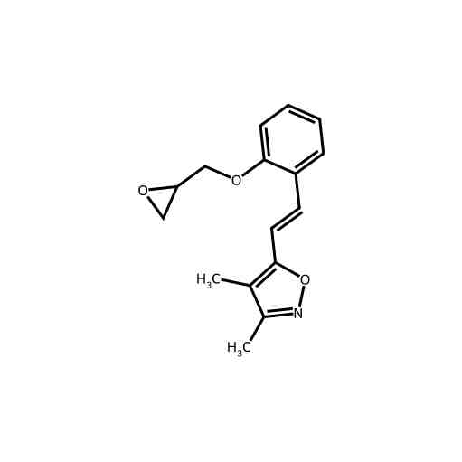 Cc1noc(C=Cc2ccccc2OCC2CO2)c1C